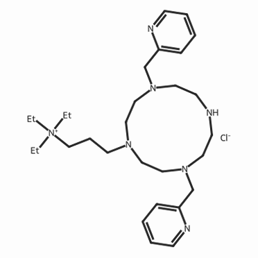 CC[N+](CC)(CC)CCCN1CCN(Cc2ccccn2)CCNCCN(Cc2ccccn2)CC1.[Cl-]